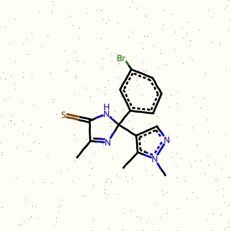 CC1=NC(c2cccc(Br)c2)(c2cnn(C)c2C)NC1=S